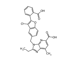 CCc1nc2c(C)cc(C(=O)O)nc2n1Cc1ccc2oc(-c3ccccc3C(=O)O)c(Cl)c2c1